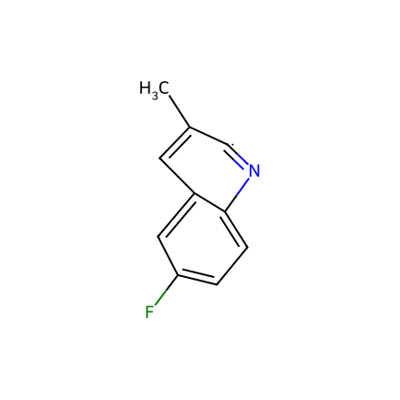 Cc1[c]nc2ccc(F)cc2c1